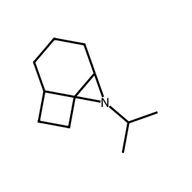 CC(C)N1C2CCCC3CCC321